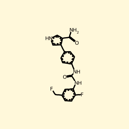 NC(=O)c1c[nH]cc1-c1ccc(NC(=O)Nc2cc(CF)ccc2F)cc1